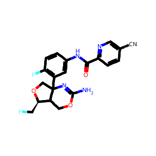 N#Cc1ccc(C(=O)Nc2ccc(F)c(C34CO[C@H](CF)C3COC(N)=N4)c2)nc1